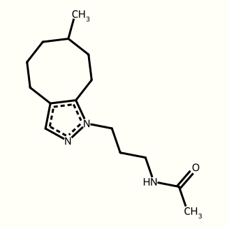 CC(=O)NCCCn1ncc2c1CCC(C)CCC2